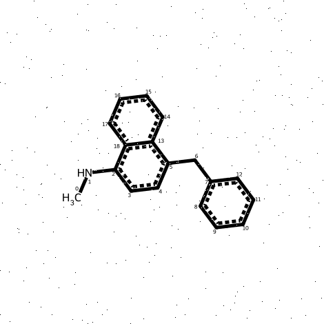 CNc1ccc(Cc2ccccc2)c2ccccc12